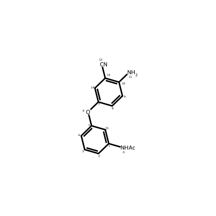 CC(=O)Nc1cccc(Oc2ccc(N)c(C#N)c2)c1